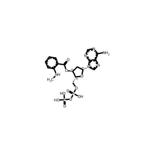 CNc1ccccc1C(=O)O[C@H]1C[C@H](n2cnc3c(N)ncnc32)O[C@@H]1COP(=O)(O)OP(=O)(O)O